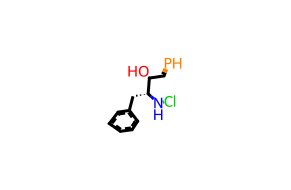 O[C@H](C=P)[C@@H](Cc1ccccc1)NCl